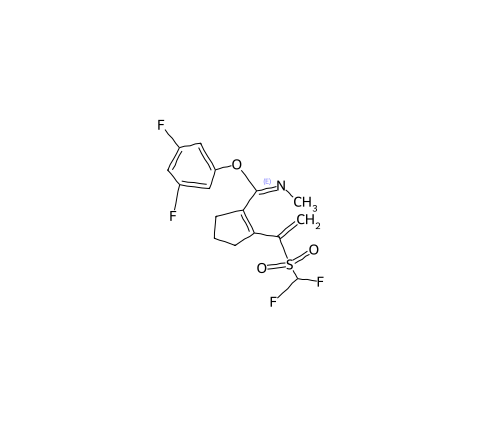 C=C(C1=C(/C(=N\C)Oc2cc(F)cc(F)c2)CCC1)S(=O)(=O)C(F)F